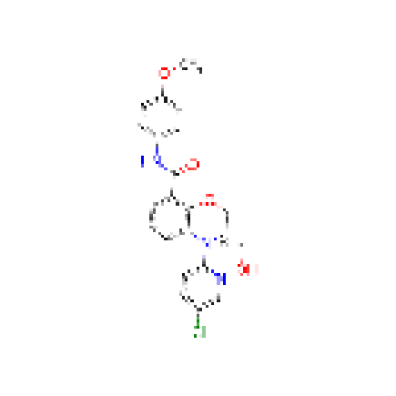 O=C(Nc1ccc(OC(F)(F)F)cc1)c1cccc2c1OC[C@H](CO)N2c1ccc(Cl)cn1